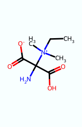 CC[N+](C)(C)C(N)(C(=O)[O-])C(=O)O